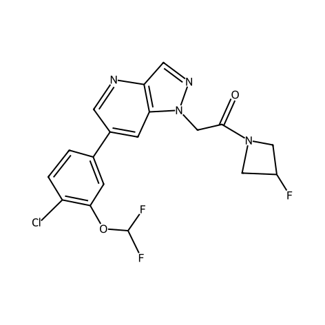 O=C(Cn1ncc2ncc(-c3ccc(Cl)c(OC(F)F)c3)cc21)N1CC(F)C1